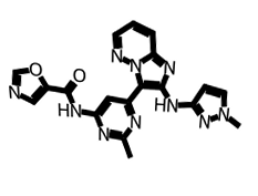 Cc1nc(NC(=O)c2cnco2)cc(-c2c(Nc3ccn(C)n3)nc3cccnn23)n1